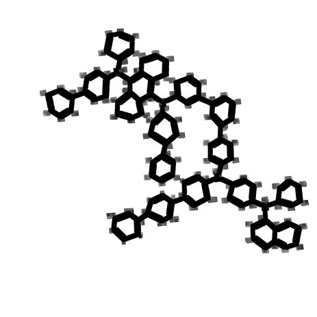 c1ccc(-c2ccc(-c3ccc(N(c4ccc(-c5cccc(-c6cccc(N(c7ccc(-c8ccccc8)cc7)c7c8ccccc8c(N(c8ccccc8)c8ccc(-c9ccccc9)cc8)c8ccccc78)c6)c5)cc4)c4ccc(N(c5ccccc5)c5cccc6ccccc56)cc4)cc3)cc2)cc1